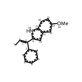 C/C=C(\c1ccccc1)c1cc2cc(OC)ccc2[nH]1